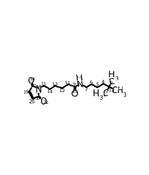 CC(C)(C)CCCCNC(=O)CCCCCN1C(=O)C=CC1=O